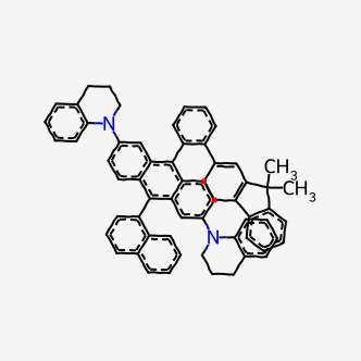 CC1(C)C2=C(CCC(c3ccccc3-c3c4cc(N5CCCc6ccccc65)ccc4c(-c4cccc5ccccc45)c4cc(N5CCCc6ccccc65)ccc34)=C2)c2ccccc21